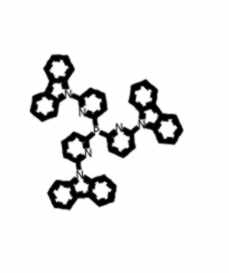 c1cc(-n2c3ccccc3c3ccccc32)nc(P(c2cccc(-n3c4ccccc4c4ccccc43)n2)c2cccc(-n3c4ccccc4c4ccccc43)n2)c1